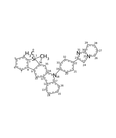 C[Si]1(C)c2ccccc2-c2cc3c4ccccc4n(-c4ccc(-c5cn6ccccc6n5)cc4)c3cc21